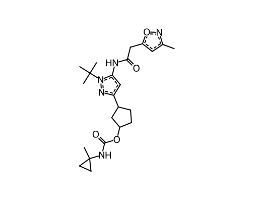 Cc1cc(CC(=O)Nc2cc(C3CCC(OC(=O)NC4(C)CC4)C3)nn2C(C)(C)C)on1